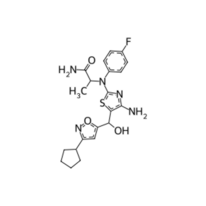 CC(C(N)=O)N(c1ccc(F)cc1)c1nc(N)c(C(O)c2cc(C3CCCC3)no2)s1